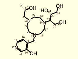 C[C@H](O)CN1CCN(Cc2ccncc2O)CCN([C@H](CO)[C@H](O)CO)CC1